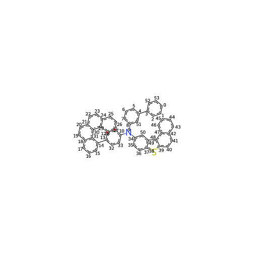 c1ccc(-c2cccc(N(c3ccc(-c4cccc5ccc6ccc7ccccc7c6c45)cc3)c3ccc4sc5ccc6ccccc6c5c4c3)c2)cc1